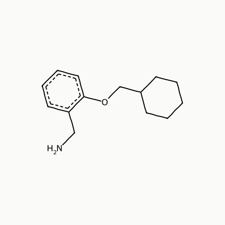 NCc1ccccc1OCC1CCCCC1